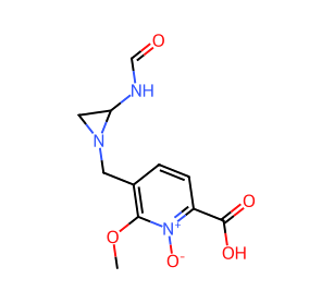 COc1c(CN2CC2NC=O)ccc(C(=O)O)[n+]1[O-]